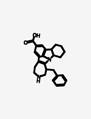 O=C(O)c1cc2c3c(c1)c1c(n3C3CCCCC23)C(Cc2ccccc2)CNCC1